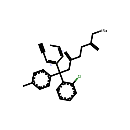 C#C/C=C(\C=C/C)C(CC(=C)CCC(=C)CC(C)(C)C)(c1ccc(C)cc1)c1ccccc1Cl